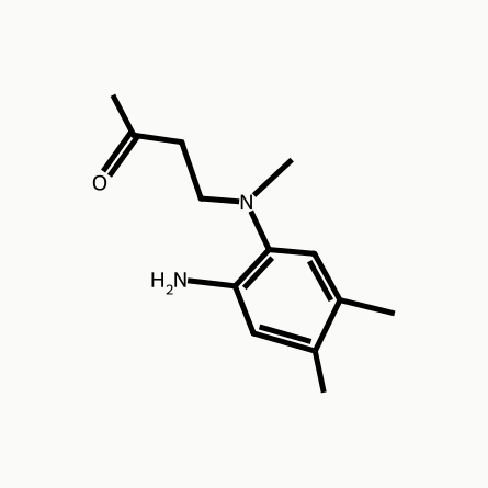 CC(=O)CCN(C)c1cc(C)c(C)cc1N